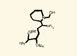 CCCC(OC)C(CC[CH]([InH2])C1CCCCN1CO)OC